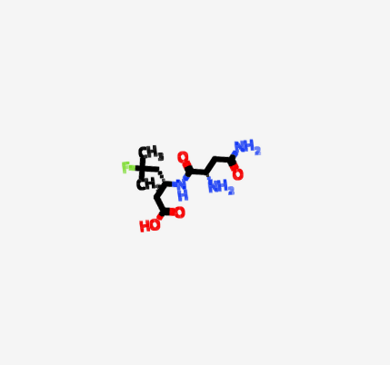 CC(C)(F)C[C@@H](CC(=O)O)NC(=O)[C@@H](N)CC(N)=O